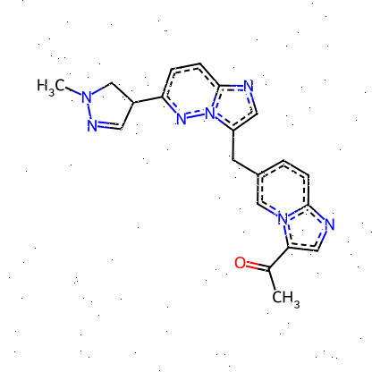 CC(=O)c1cnc2ccc(Cc3cnc4ccc(C5C=NN(C)C5)nn34)cn12